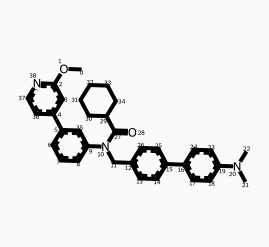 COc1cc(-c2cccc(N(Cc3ccc(-c4ccc(N(C)C)cc4)cc3)C(=O)C3CCCCC3)c2)ccn1